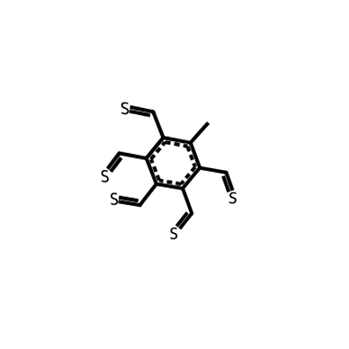 Cc1c(C=S)c(C=S)c(C=S)c(C=S)c1C=S